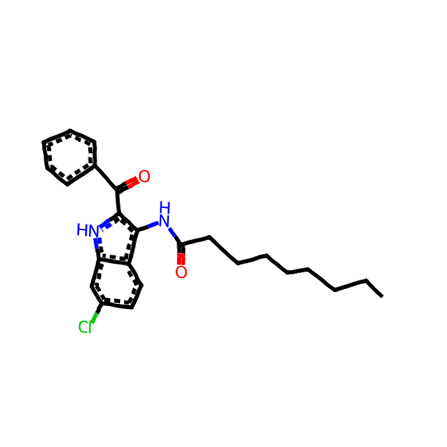 CCCCCCCCC(=O)Nc1c(C(=O)c2ccccc2)[nH]c2cc(Cl)ccc12